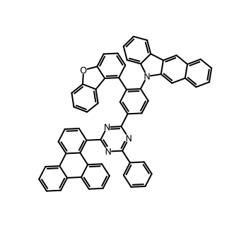 c1ccc(-c2nc(-c3ccc(-n4c5ccccc5c5cc6ccccc6cc54)c(-c4cccc5oc6ccccc6c45)c3)nc(-c3cccc4c5ccccc5c5ccccc5c34)n2)cc1